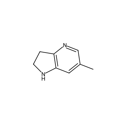 Cc1cnc2c(c1)NCC2